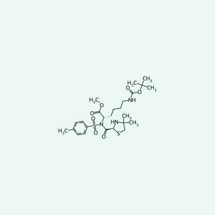 COC(=O)[C@H](CCCCNC(=O)OC(C)(C)C)N(C(=O)[C@H]1NC(C)(C)CS1)S(=O)(=O)c1ccc(C)cc1